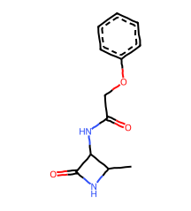 CC1NC(=O)C1NC(=O)COc1ccccc1